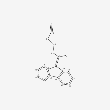 C#CCCCC(C)=C1c2ccccc2-c2ccccc21